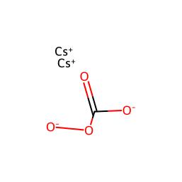 O=C([O-])O[O-].[Cs+].[Cs+]